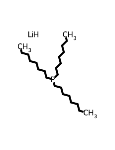 CCCCCCCCP(CCCCCCCC)CCCCCCCC.[LiH]